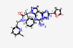 Cc1cccc(CNC(=O)C(C)(c2ccccc2)n2ncc3c2nc(N)n2nc(-c4ccco4)nc32)n1